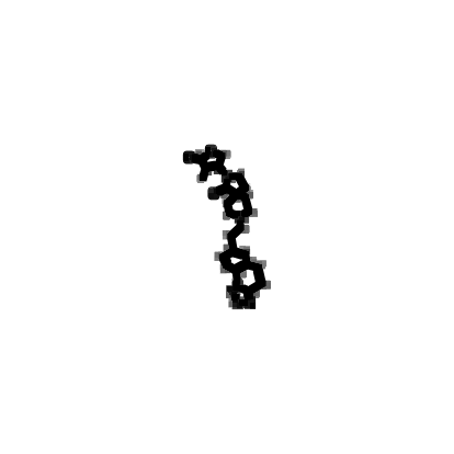 CC1=C(N2CCC3(CCN(CCc4ccc5c(ccc6nnnn65)c4)CC3)C2=O)COC1=O